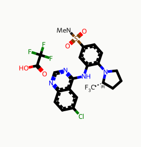 CNS(=O)(=O)c1ccc(N2CCC[C@@H]2C(F)(F)F)c(Nc2ncnc3ccc(Cl)cc23)c1.O=C(O)C(F)(F)F